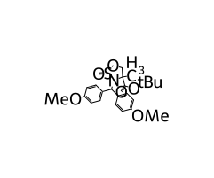 COc1ccc(C(c2ccc(OC)cc2)N2S(=O)OCC2(C)C(=O)OC(C)(C)C)cc1